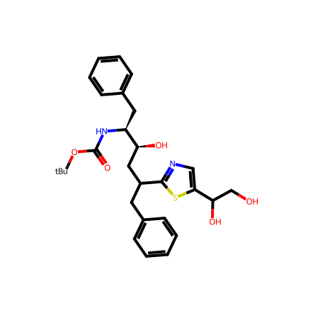 CC(C)(C)OC(=O)N[C@@H](Cc1ccccc1)[C@@H](O)CC(Cc1ccccc1)c1ncc(C(O)CO)s1